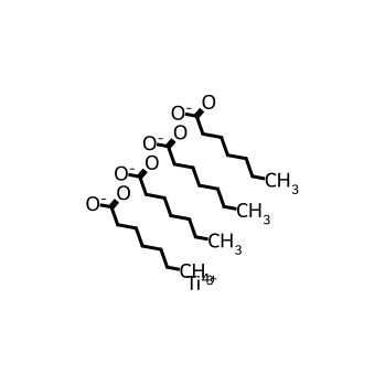 CCCCCCC(=O)[O-].CCCCCCC(=O)[O-].CCCCCCC(=O)[O-].CCCCCCC(=O)[O-].[Ti+4]